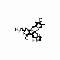 COc1nc(N)nc2c1/C(=C/c1ncc[nH]1)C(=O)N2Cc1ncc(C)c(OC)c1C